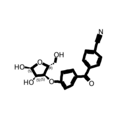 N#Cc1ccc(C(=O)c2ccc(O[C@H]3[C@H](O)[C@@H](O)O[C@@H]3CO)cc2)cc1